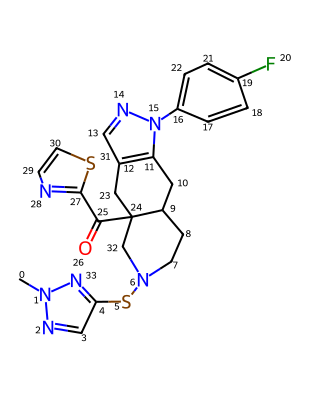 Cn1ncc(SN2CCC3Cc4c(cnn4-c4ccc(F)cc4)CC3(C(=O)c3nccs3)C2)n1